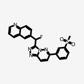 CS(=O)(=O)c1cccc(-c2ccc3nnc(C(F)c4ccc5ncccc5c4)n3n2)c1